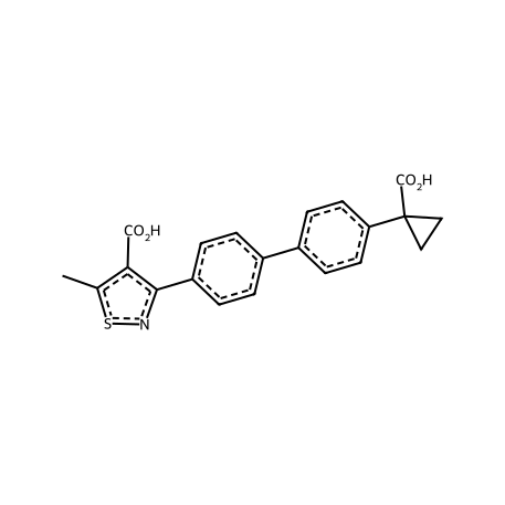 Cc1snc(-c2ccc(-c3ccc(C4(C(=O)O)CC4)cc3)cc2)c1C(=O)O